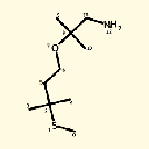 CSC(C)(C)CCOC(C)(C)CN